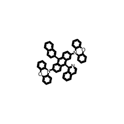 c1ccc2c(c1)Oc1ccccc1N2c1ccc2c(-c3nccc4ccccc34)c3cc(N4c5ccccc5Oc5ccccc54)ccc3c(-c3ccc4ccccc4c3)c2c1